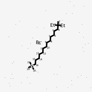 CCC(C)(CC)CCCCCCCCCCCCC[N+](C)(C)C.[Br-]